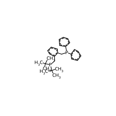 CC(C)(C)P(Cc1ccccc1CP(c1ccccc1)c1ccccc1)C(C)(C)C